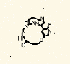 O=C1CCCOc2cnc(F)c(c2)-c2cnc3ccc(nn23)NCCN1